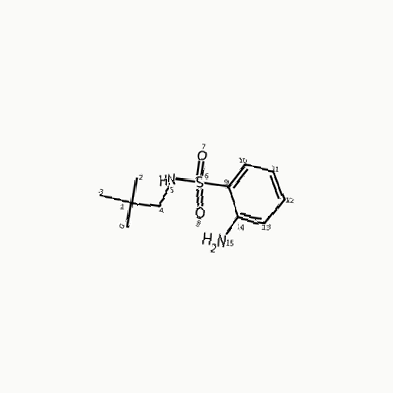 CC(C)(C)CNS(=O)(=O)c1ccccc1N